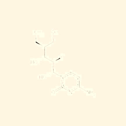 CC[C@@H](CO)[C@@H](O)[C@@H](F)[C@@H](O)n1ccc(N)nc1=O